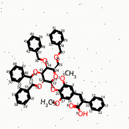 COc1cc(C=C(C(=O)O)c2ccccc2)cc(OC)c1O[C@@H]1O[C@H](COCc2ccccc2)[C@H](OCc2ccccc2)[C@H](OCc2ccccc2)[C@H]1OCc1ccccc1